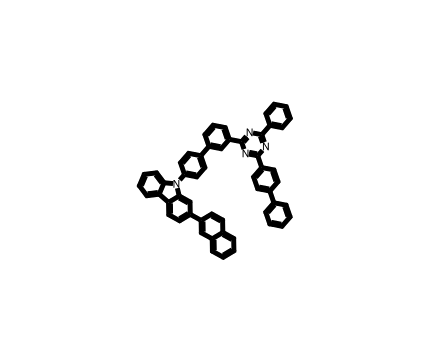 c1ccc(-c2ccc(-c3nc(-c4ccccc4)nc(-c4cccc(-c5ccc(-n6c7ccccc7c7ccc(-c8ccc9ccccc9c8)cc76)cc5)c4)n3)cc2)cc1